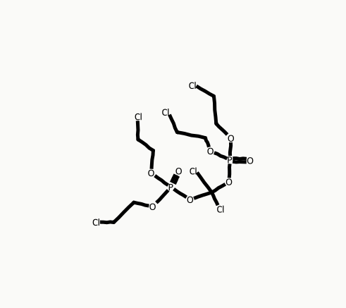 O=P(OCCCl)(OCCCl)OC(Cl)(Cl)OP(=O)(OCCCl)OCCCl